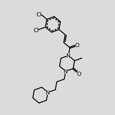 CC1C(=O)N(CCCN2CCCCC2)CCN1C(=O)C=Cc1ccc(Cl)c(Cl)c1